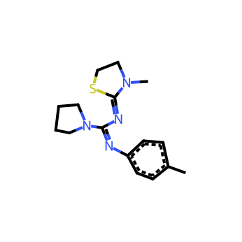 Cc1ccc(N=C(N=C2SCCN2C)N2CCCC2)cc1